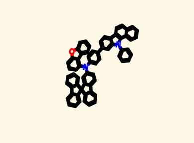 c1ccc(-n2c3cc(-c4ccc(N(c5ccc6c(c5)C5(c7ccccc7-c7ccccc75)c5ccccc5-6)c5cccc6oc7ccccc7c56)cc4)ccc3c3ccc4ccccc4c32)cc1